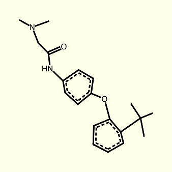 CN(C)CC(=O)Nc1ccc(Oc2ccccc2C(C)(C)C)cc1